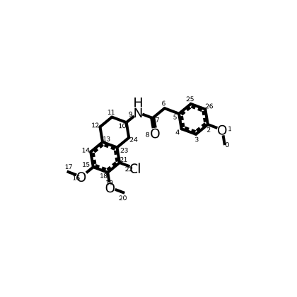 COc1ccc(CC(=O)NC2CCc3cc(OC)c(OC)c(Cl)c3C2)cc1